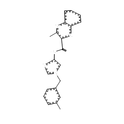 O=C(Nc1cn(Cc2cccc(Cl)c2)cn1)c1nc2ccccc2nc1O